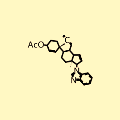 C=C=CC1C2C=CC(n3cnc4ccccc43)[C@@]2(C)CCC1[C@]1(C)C=CC(OC(C)=O)CC1